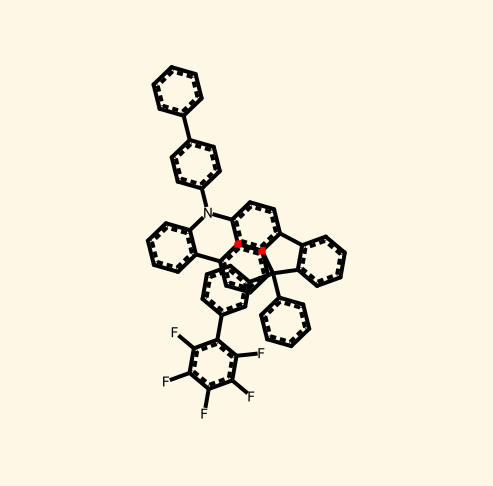 Fc1c(F)c(F)c(-c2cccc(C3(c4ccccc4)c4ccccc4-c4ccc(N(c5ccc(-c6ccccc6)cc5)c5ccccc5-c5ccccc5)cc43)c2)c(F)c1F